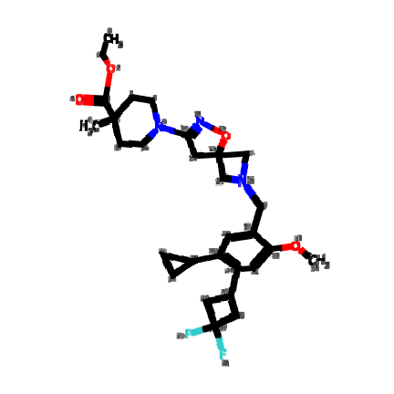 CCOC(=O)C1(C)CCN(C2=NOC3(C2)CN(Cc2cc(C4CC4)c(C4CC(F)(F)C4)cc2OC)C3)CC1